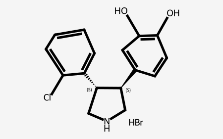 Br.Oc1ccc([C@H]2CNC[C@@H]2c2ccccc2Cl)cc1O